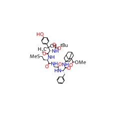 COC(=O)C12CC3CC(CC(NC(=O)[C@H](Cc4ccccc4)NC(=O)CNC(=O)[C@@H](CCSC)NC(=O)[C@@H](NC(=O)OC(C)(C)C)C(C)(C)c4ccc(O)cc4)(C3)C1)C2